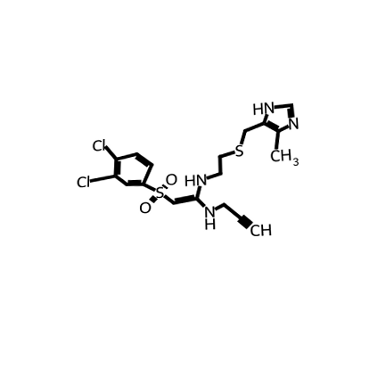 C#CCNC(=CS(=O)(=O)c1ccc(Cl)c(Cl)c1)NCCSCc1[nH]cnc1C